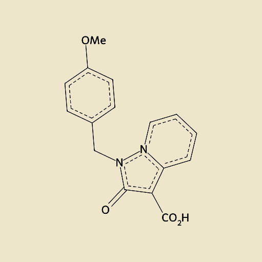 COc1ccc(Cn2c(=O)c(C(=O)O)c3ccccn32)cc1